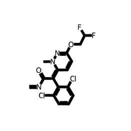 C=NC(=O)/C(=C1/C=CC(OCC(F)F)=NN1C)c1c(Cl)cccc1Cl